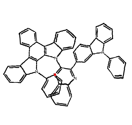 c1ccc(-n2c3ccccc3c3ccc(-c4nc5ccccc5nc4-n4c5ccccc5c5c6ccccc6c6c7ccccc7n(-c7ccccc7)c6c54)cc32)cc1